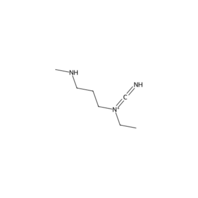 CC[N+](=C=N)CCCNC